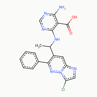 CC(Nc1ncnc(N)c1C(=O)O)c1cc2ncc(Cl)n2nc1-c1ccccc1